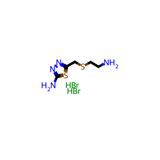 Br.Br.NCCSCc1nnc(N)s1